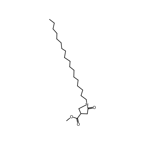 CCCCCCCCCCCCCCCCCCN1CC(C(=O)OC)CC1=O